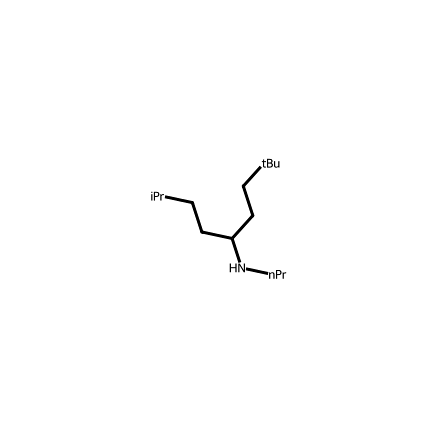 [CH2]CCNC(CCC(C)C)CCC(C)(C)C